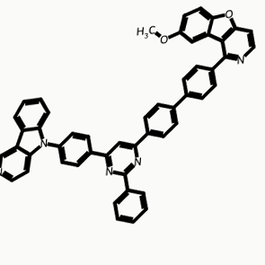 COc1ccc2oc3ccnc(-c4ccc(-c5ccc(-c6cc(-c7ccc(-n8c9ccccc9c9cnccc98)cc7)nc(-c7ccccc7)n6)cc5)cc4)c3c2c1